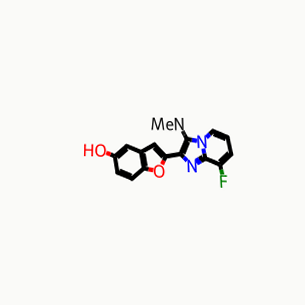 CNc1c(-c2cc3cc(O)ccc3o2)nc2c(F)cccn12